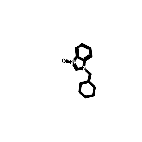 [O-][n+]1cn(CC2CCCCC2)c2ccccc21